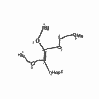 CCCCCCCC(OCCCC)=C(OCCCC)OCOC